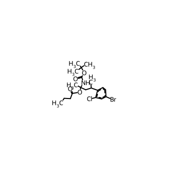 CCCC(=O)OC(C)(CC(C)c1ccc(Br)cc1Cl)NC(=O)OC(C)(C)C